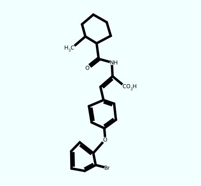 CC1CCCCC1C(=O)NC(=Cc1ccc(Oc2ccccc2Br)cc1)C(=O)O